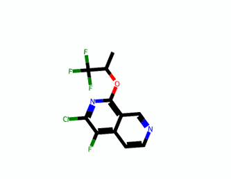 CC(Oc1nc(Cl)c(F)c2ccncc12)C(F)(F)F